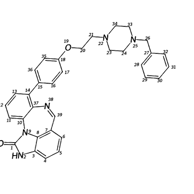 O=c1[nH]c2cccc3c2n1-c1cccc(-c2ccc(OCCN4CCN(Cc5ccccc5)CC4)cc2)c1N=C3